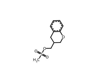 CS(=O)(=O)OCC1COc2ccccc2C1